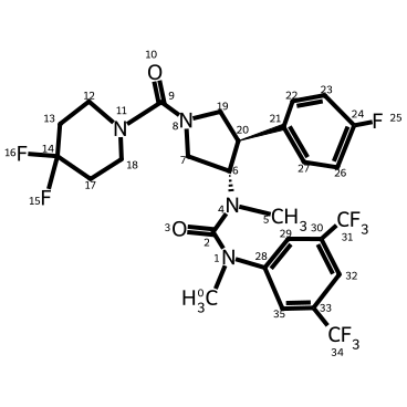 CN(C(=O)N(C)[C@@H]1CN(C(=O)N2CCC(F)(F)CC2)C[C@H]1c1ccc(F)cc1)c1cc(C(F)(F)F)cc(C(F)(F)F)c1